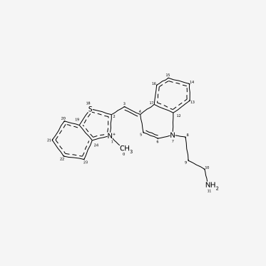 C[n+]1c(/C=C2\C=CN(CCCN)c3ccccc32)sc2ccccc21